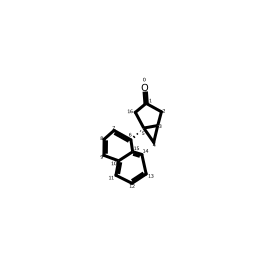 O=C1CC2C[C@@]2(c2cccc3ccccc23)C1